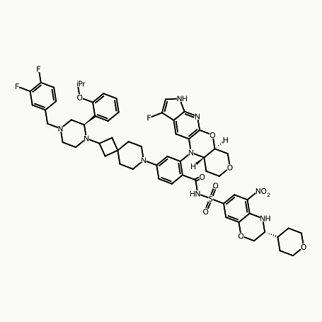 CC(C)Oc1ccccc1[C@@H]1CN(Cc2ccc(F)c(F)c2)CCN1C1CC2(CCN(c3ccc(C(=O)NS(=O)(=O)c4cc5c(c([N+](=O)[O-])c4)N[C@H](C4CCOCC4)CO5)c(N4c5cc6c(F)c[nH]c6nc5O[C@H]5COCC[C@@H]54)c3)CC2)C1